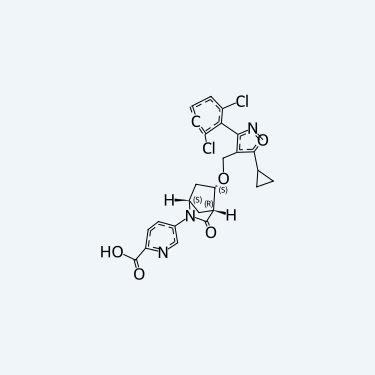 O=C(O)c1ccc(N2C(=O)[C@@H]3C[C@H]2C[C@@H]3OCc2c(-c3c(Cl)cccc3Cl)noc2C2CC2)cn1